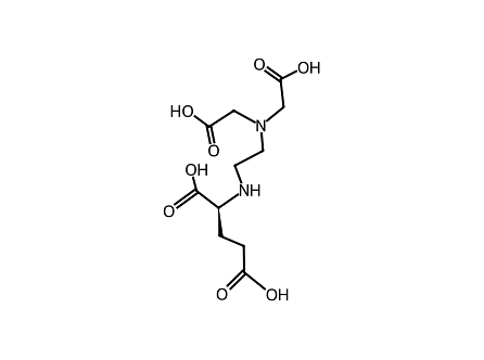 O=C(O)CC[C@H](NCCN(CC(=O)O)CC(=O)O)C(=O)O